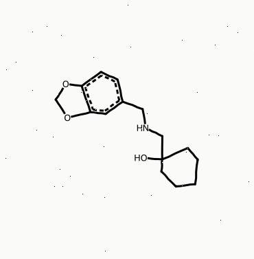 OC1(CNCc2ccc3c(c2)OCO3)CCCCC1